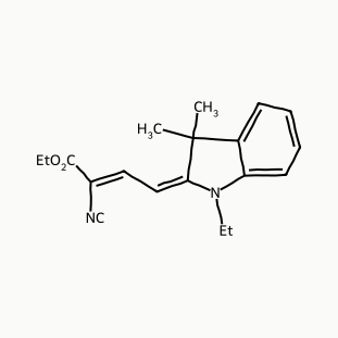 [C-]#[N+]/C(=C\C=C1\N(CC)c2ccccc2C1(C)C)C(=O)OCC